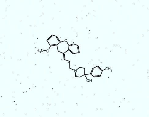 COc1cccc2c1C/C(=C/CCN1CCC(O)(c3ccc(C)cc3)CC1)c1cccnc1O2